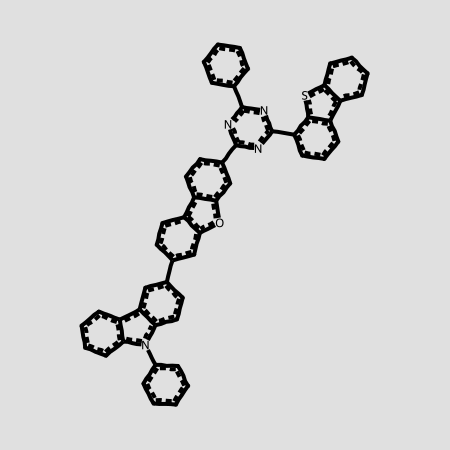 c1ccc(-c2nc(-c3ccc4c(c3)oc3cc(-c5ccc6c(c5)c5ccccc5n6-c5ccccc5)ccc34)nc(-c3cccc4c3sc3ccccc34)n2)cc1